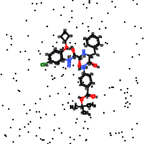 CC(C)(C)OC(=O)c1ccc(NC(=O)C(Cc2ccccc2)NC(=O)C(=O)Nc2cc(Cl)ccc2OC2CCC2)cc1